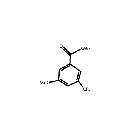 COc1cc(C(=O)SC)cc(C(F)(F)F)c1